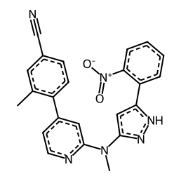 Cc1cc(C#N)ccc1-c1ccnc(N(C)c2cc(-c3ccccc3[N+](=O)[O-])[nH]n2)c1